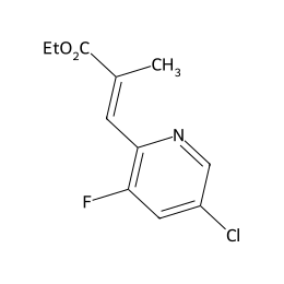 CCOC(=O)/C(C)=C/c1ncc(Cl)cc1F